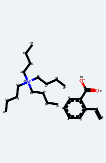 C=Cc1ccccc1C(=O)[O-].CCCC[N+](CCCC)(CCCC)CCCC